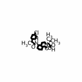 CC(C(=O)Nc1cccc2c(=O)n([C@@H](C(=O)O)C(C)C)ccc12)c1ccc(Cl)cc1